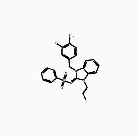 O=S(=O)(/N=c1/n(CCF)c2ccccc2n1Cc1ccc(C(F)(F)F)c(F)c1)c1ccccc1